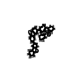 O=P(c1ccccc1)(c1ccccc1)c1cncc(-c2ccc3oc4ccc(-c5ccc6oc7ccccc7c6c5)cc4c3c2)c1